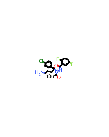 CC(C)(C)C(=O)N1N=C(c2cc(F)ccc2F)OC1(CCCN)c1ccc(Cl)cc1